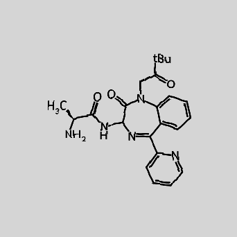 C[C@H](N)C(=O)NC1N=C(c2ccccn2)c2ccccc2N(CC(=O)C(C)(C)C)C1=O